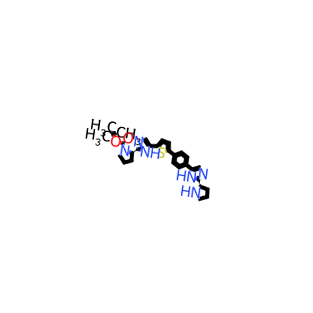 CC(C)(C)OC(=O)N1CCC[C@H]1c1ncc(-c2ccc(-c3ccc(-c4cnc([C@@H]5CCCN5)[nH]4)cc3)s2)[nH]1